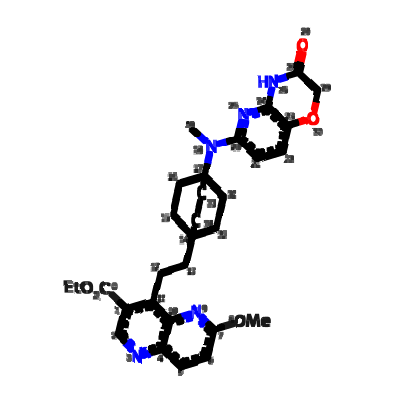 CCOC(=O)c1cnc2ccc(OC)nc2c1CCC12CCC(N(C)c3ccc4c(n3)NC(=O)CO4)(CC1)CC2